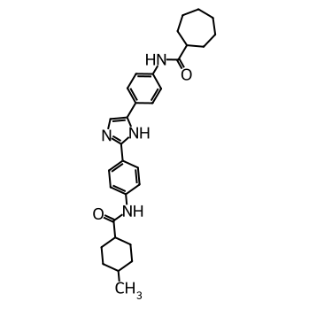 CC1CCC(C(=O)Nc2ccc(-c3ncc(-c4ccc(NC(=O)C5CCCCCC5)cc4)[nH]3)cc2)CC1